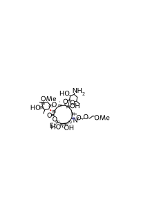 CC[C@H]1OC(=O)[C@H](C)C(O[C@@H]2CC(C)[C@H](O)[C@](C)(OC)C2)[C@H](C)C(O[C@@H]2OC(C)CC(N)C2O)[C@](C)(O)C[C@@H](C)/C(=N\OCOCCOC)[C@H](C)[C@@H](O)[C@]1(C)O